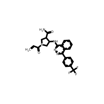 C=CC(=O)N1CC(Nc2nnc(-c3ccc(C(F)(F)F)cc3)c3ccccc23)C(C(N)=O)C1